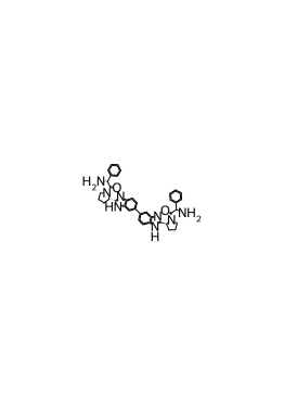 N[C@@H](C(=O)N1CCC[C@H]1c1nc2cc(-c3ccc4nc([C@@H]5CCCN5C(=O)[C@H](N)c5ccccc5)[nH]c4c3)ccc2[nH]1)c1ccccc1